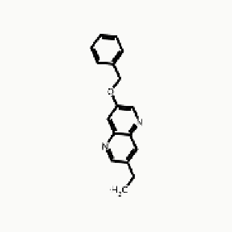 [CH2]Cc1cnc2cc(OCc3ccccc3)cnc2c1